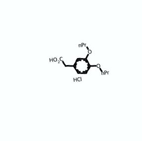 CCCOc1ccc(CC(=O)O)cc1OCCC.Cl